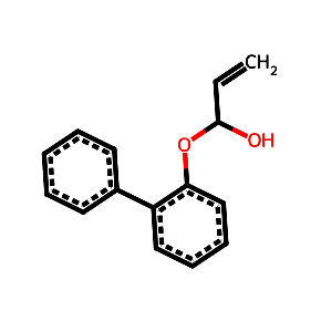 C=CC(O)Oc1ccccc1-c1ccccc1